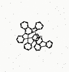 c1ccc2c(c1)-c1cccc3nc(-n4c5ccccc5c5c6ccccc6c6c(c54)C4(c5ccccc5-c5ccccc54)c4ccccc4-6)nc-2c13